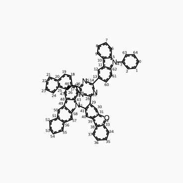 c1ccc(-n2c3ccccc3c3cc(-c4nc(-c5ccc6ccccc6c5)nc(-c5cc6oc7ccccc7c6cc5-n5c6ccccc6c6cc7ccccc7cc65)n4)ccc32)cc1